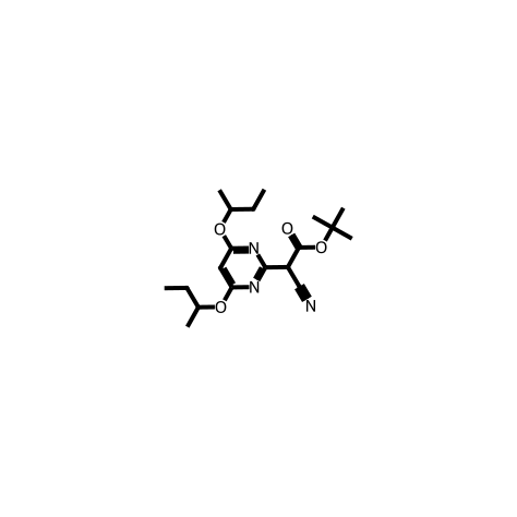 CCC(C)Oc1cc(OC(C)CC)nc(C(C#N)C(=O)OC(C)(C)C)n1